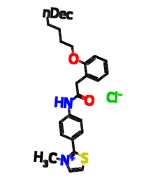 CCCCCCCCCCCCCCOc1ccccc1CC(=O)Nc1ccc(-c2scc[n+]2C)cc1.[Cl-]